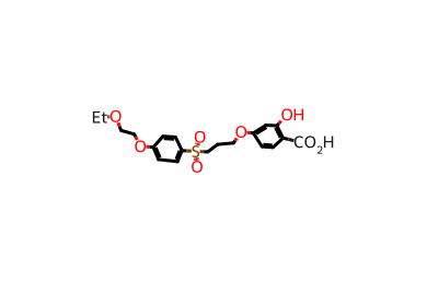 CCOCCOc1ccc(S(=O)(=O)CCCOc2ccc(C(=O)O)c(O)c2)cc1